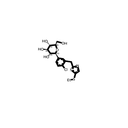 CCSc1cnc(Cc2cc([C@@H]3O[C@H](CO)[C@@H](O)[C@H](O)[C@H]3O)ccc2Cl)s1